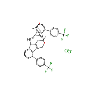 CC(C)CC1=C2CCC3=C(CC(C)C)[CH]([Hf+2][CH]1c1cccc(-c4ccc(C(F)(F)F)cc4)c12)c1cccc(-c2ccc(C(F)(F)F)cc2)c13.[Cl-].[Cl-]